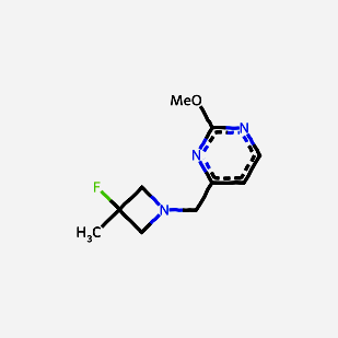 COc1nccc(CN2CC(C)(F)C2)n1